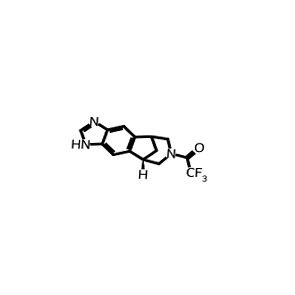 O=C(N1CC2C[C@H](C1)c1cc3[nH]cnc3cc12)C(F)(F)F